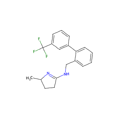 CC1CCC(NCc2ccccc2-c2cccc(C(F)(F)F)c2)=N1